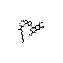 CCCCCCC(C)C(=O)OC1NCC12CCN(c1nc(Cl)nc3cc(Br)c(OC)cc13)C2